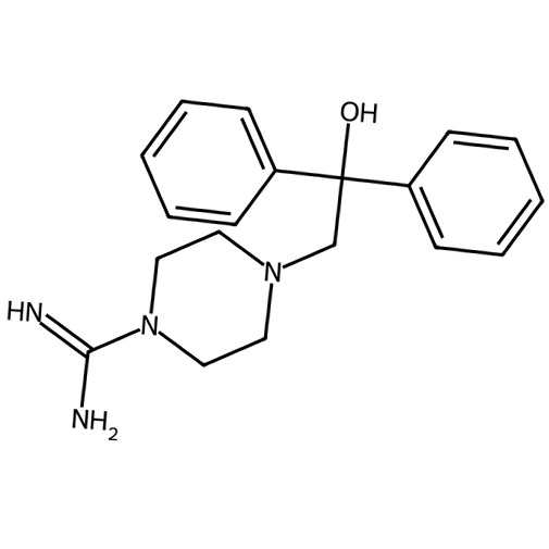 N=C(N)N1CCN(CC(O)(c2ccccc2)c2ccccc2)CC1